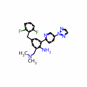 CN(C)Cc1[c]c(Cc2c(F)cccc2F)cc(-c2ccc(-n3nccn3)cn2)c1N